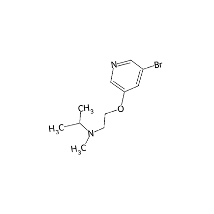 CC(C)N(C)CCOc1cncc(Br)c1